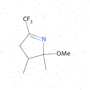 COC1(C)N=C(C(F)(F)F)CC1C